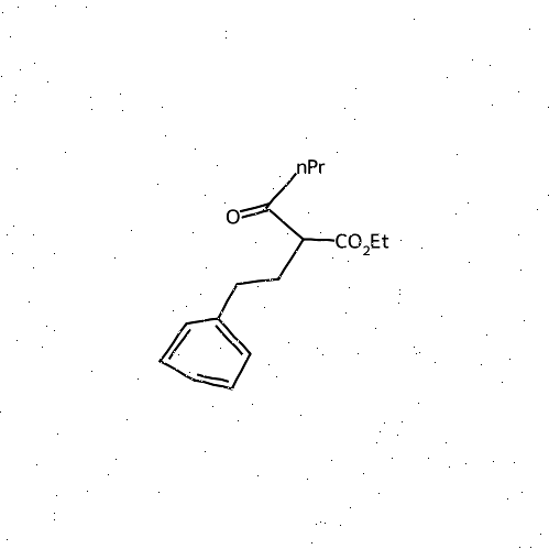 CCCC(=O)C(CCc1ccccc1)C(=O)OCC